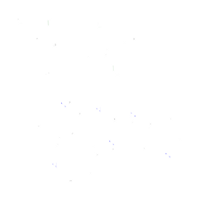 CN1CCC(Nc2nc(Nc3cc(C(F)(F)F)cc(C(F)(F)F)c3)c3c(=O)[nH]ccc3n2)C1